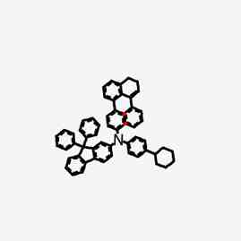 C1=C(c2ccccc2)c2c(cccc2-c2ccc(N(c3ccc(C4CCCCC4)cc3)c3ccc4c(c3)C(c3ccccc3)(c3ccccc3)c3ccccc3-4)cc2)CC1